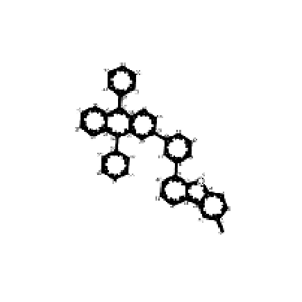 Cc1ccc2oc3c(-c4cccc(-c5ccc6c(-c7ccccc7)c7ccccc7c(-c7ccccc7)c6c5)c4)cccc3c2c1